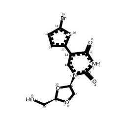 O=c1[nH]c(=O)n([C@H]2CO[C@@H](CO)O2)cc1-c1ccc(Br)s1